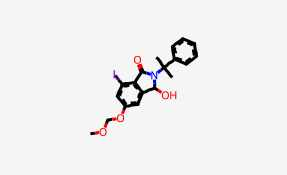 COCOc1cc(I)c2c(c1)C(O)N(C(C)(C)c1ccccc1)C2=O